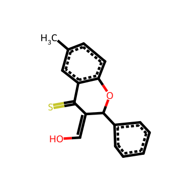 Cc1ccc2c(c1)C(=S)C(=CO)C(c1ccccc1)O2